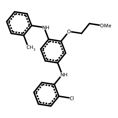 COCCOc1cc(Nc2ccccc2Cl)ccc1Nc1ccccc1C